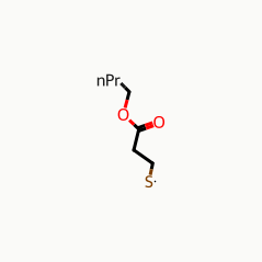 CCCCOC(=O)CC[S]